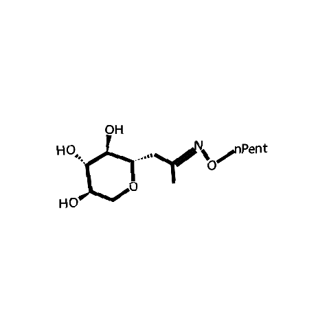 CCCCCO/N=C(\C)C[C@@H]1OC[C@@H](O)[C@H](O)[C@H]1O